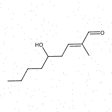 CCCCC(O)C/C=C(\C)C=O